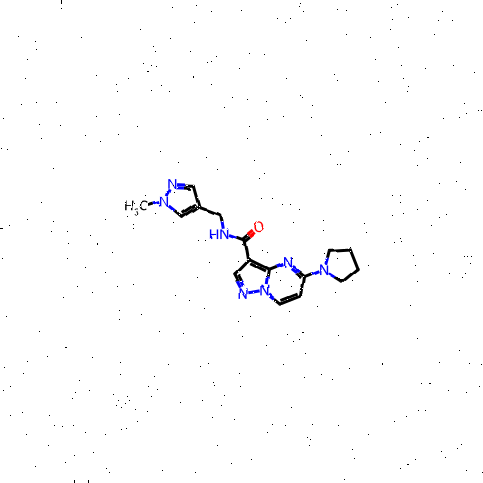 Cn1cc(CNC(=O)c2cnn3ccc(N4CCCC4)nc23)cn1